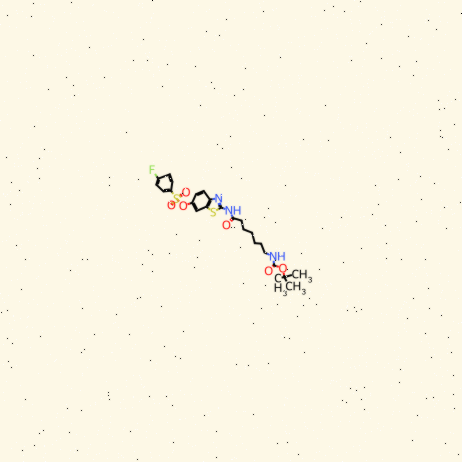 CC(C)(C)OC(=O)NCCCCCCC(=O)Nc1nc2ccc(OS(=O)(=O)c3ccc(F)cc3)cc2s1